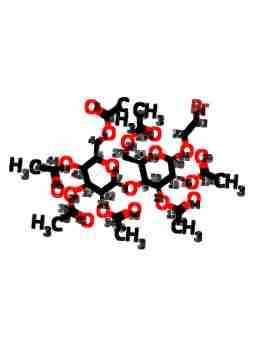 CC(=O)OC[C@H]1O[C@H](O[C@@H]2[C@H](OC(C)=O)[C@@H](OC(C)=O)[C@H](OCCBr)O[C@@H]2COC(C)=O)[C@H](OC(C)=O)[C@@H](OC(C)=O)[C@H]1OC(C)=O